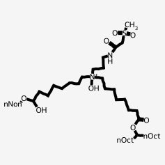 CCCCCCCCCOC(O)CCCCCCC[N+](O)(CCCCCCCC(=O)OC(CCCCCCCC)CCCCCCCC)CCCNC(=O)CS(C)(=O)=O